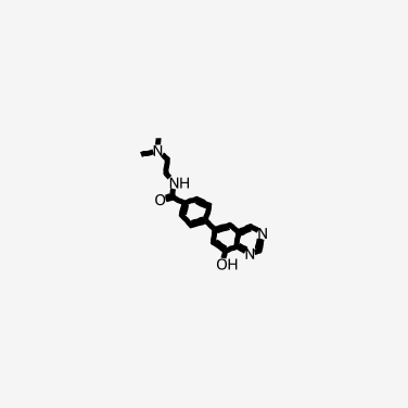 CN(C)CCNC(=O)c1ccc(-c2cc(O)c3ncncc3c2)cc1